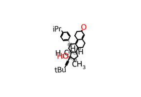 CC(C)c1ccc([C@H]2C[C@@]3(C)[C@@H](C[C@@H](C)[C@@]3(O)C#CC(C)(C)C)[C@@H]3CCC4=CC(=O)CCC4=C32)cc1